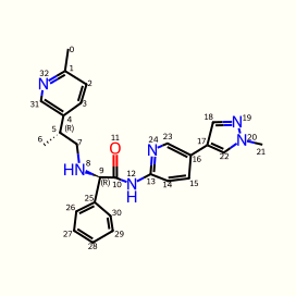 Cc1ccc([C@@H](C)CN[C@@H](C(=O)Nc2ccc(-c3cnn(C)c3)cn2)c2ccccc2)cn1